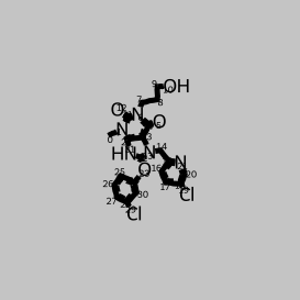 Cn1c2c(c(=O)n(CCCO)c1=O)N(Cc1ccc(Cl)cn1)C(Oc1cccc(Cl)c1)N2